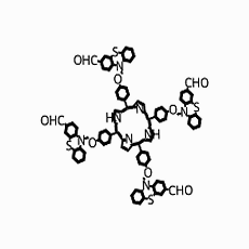 O=Cc1ccc2c(c1)Sc1ccccc1N2COc1ccc(-c2c3nc(c(-c4ccc(OCN5c6ccccc6Sc6cc(C=O)ccc65)cc4)c4ccc([nH]4)c(-c4ccc(OCN5c6ccccc6Sc6cc(C=O)ccc65)cc4)c4nc(c(-c5ccc(OCN6c7ccccc7Sc7cc(C=O)ccc76)cc5)c5ccc2[nH]5)C=C4)C=C3)cc1